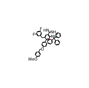 COc1ccc(COc2ccc(-c3cc(NC(c4ccccc4)(c4ccccc4)c4ccccc4)c(C(=N)N)cc3Cc3cc(F)cc(F)c3)cc2)cc1